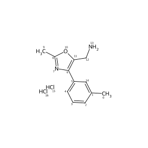 Cc1cccc(-c2nc(C)oc2CN)c1.Cl.Cl